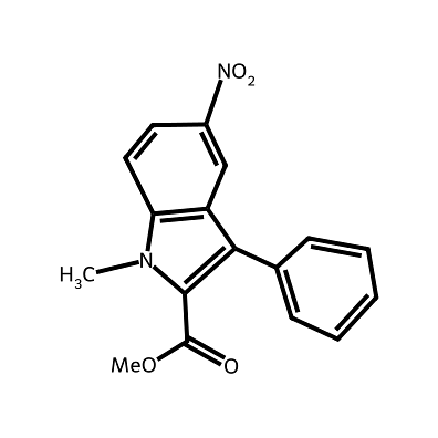 COC(=O)c1c(-c2ccccc2)c2cc([N+](=O)[O-])ccc2n1C